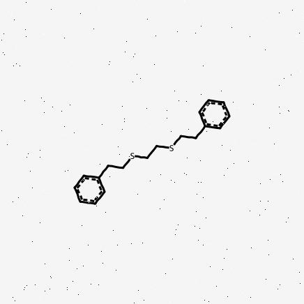 c1ccc(CCSCCSCCc2ccccc2)cc1